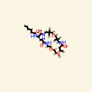 CCCCCC(=O)N[C@H](CCC(=O)NCCOCCOC)C(=O)NCC(C)(C)COCC(C)(C)CNC(=O)CCC